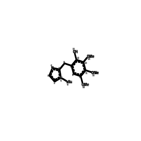 CCCCn1ccnc1Cc1cc(OC)c(OC)c(OC)c1O